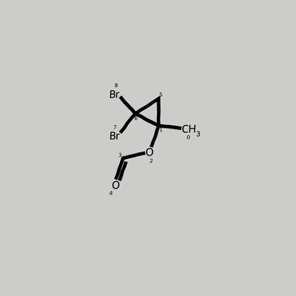 CC1(OC=O)CC1(Br)Br